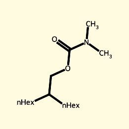 CCCCCCC(CCCCCC)COC(=O)N(C)C